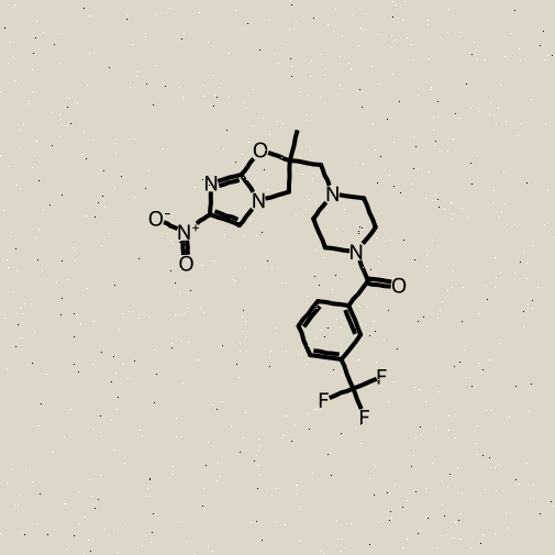 CC1(CN2CCN(C(=O)c3cccc(C(F)(F)F)c3)CC2)Cn2cc([N+](=O)[O-])nc2O1